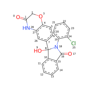 O=C1COc2ccc(C3(O)c4ccccc4C(=O)N3c3ccccc3Cl)cc2N1